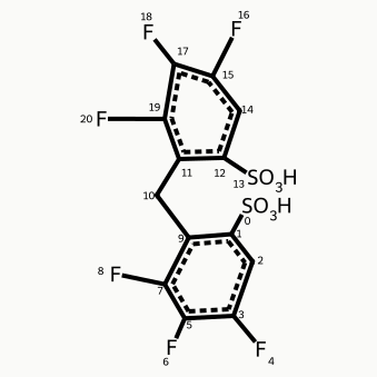 O=S(=O)(O)c1cc(F)c(F)c(F)c1Cc1c(S(=O)(=O)O)cc(F)c(F)c1F